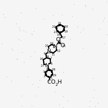 O=C(O)c1ccc(N2CCC(CN3CCN(C(=O)OCc4ccccc4)CC3)CC2)cc1